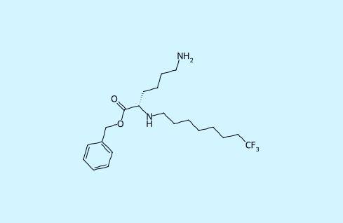 NCCCC[C@H](NCCCCCCCC(F)(F)F)C(=O)OCc1ccccc1